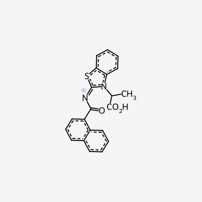 CC(C(=O)O)n1/c(=N\C(=O)c2cccc3ccccc23)sc2ccccc21